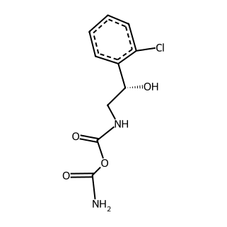 NC(=O)OC(=O)NC[C@@H](O)c1ccccc1Cl